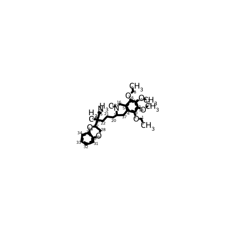 CCOc1c2c(c(OCC)c(OC)c1OC)CN(C)C(CCCC(C)(C#N)C1COc3ccccc3O1)C2